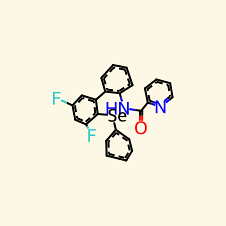 O=C(Nc1ccccc1-c1cc(F)cc(F)c1[Se]c1ccccc1)c1ccccn1